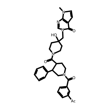 CC(=O)c1cccc(C(=O)N2CCC(C(=O)N3CCC(O)(Cn4cnc5c(ccn5C)c4=O)CC3)C(c3ccccc3)C2)c1